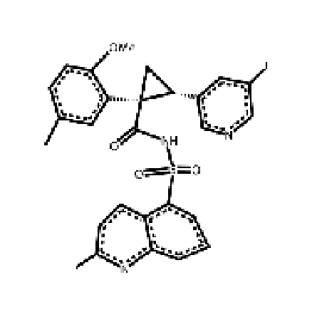 COc1ccc(C)cc1[C@]1(C(=O)NS(=O)(=O)c2cccc3nc(C)ccc23)C[C@@H]1c1cncc(F)c1